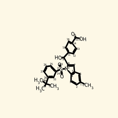 Cc1ccc2c(c1)cc(C(O)c1ccc(C(=O)O)cc1)n2S(=O)(=O)c1cccc(C(C)(C)C)c1